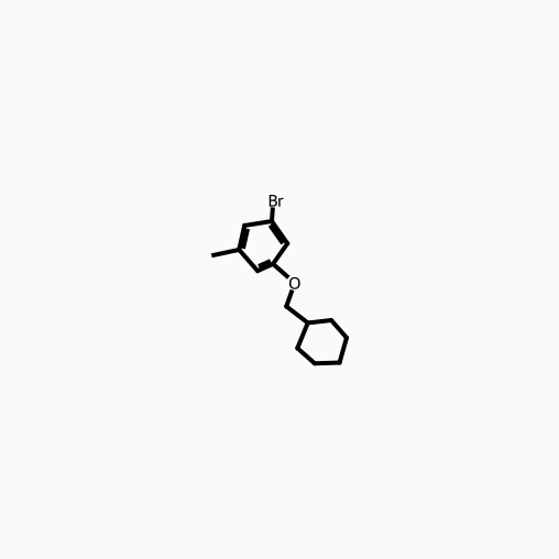 Cc1cc(Br)cc(OCC2CCCCC2)c1